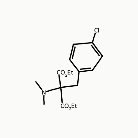 CCOC(=O)C(Cc1ccc(Cl)cc1)(C(=O)OCC)N(C)C